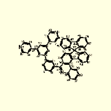 c1cc(-c2cc(-c3ccncc3)cc(-c3ccncc3)c2)cc(-c2nc3ccccc3c3c4c(ccc23)C2(c3ccccc3-c3ccccc32)c2ccccc2-4)c1